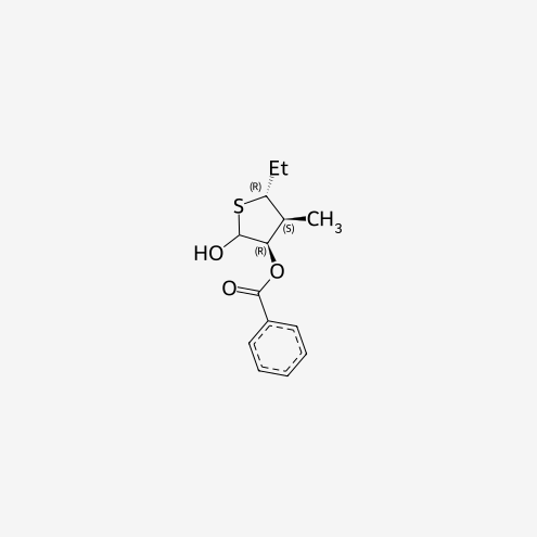 CC[C@H]1SC(O)[C@H](OC(=O)c2ccccc2)[C@@H]1C